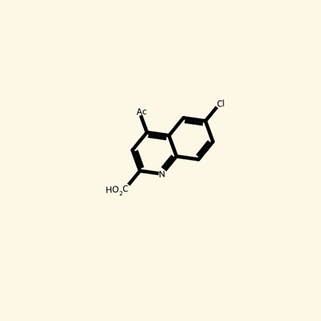 CC(=O)c1cc(C(=O)O)nc2ccc(Cl)cc12